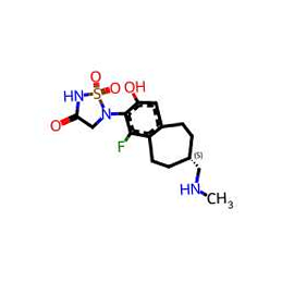 CNC[C@H]1CCc2cc(O)c(N3CC(=O)NS3(=O)=O)c(F)c2CC1